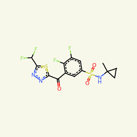 CC1(NS(=O)(=O)c2cc(F)c(F)c(C(=O)c3nnc(C(F)F)s3)c2)CC1